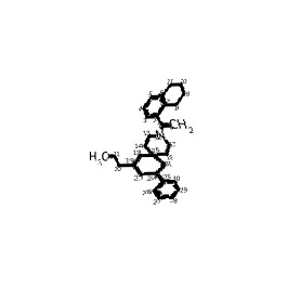 C=C(c1cccc2c1CCCC2)N1CCC2(CC1)CC(CCC)CC(c1ccccc1)C2